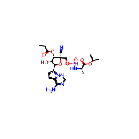 CCC(=O)O[C@H]1[C@@H](O)[C@H](c2ccc3c(N)ncnn23)O[C@]1(C#N)CO[PH](=O)N[C@@H](C)C(=O)OC(C)C